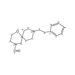 O=CN1CCOC2(CCN(CCc3ccccc3)CC2)C1